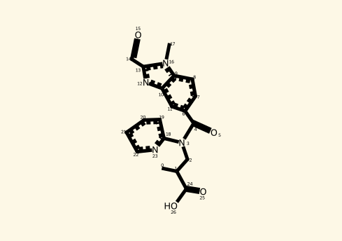 CC(CN(C(=O)c1ccc2c(c1)nc(C=O)n2C)c1ccccn1)C(=O)O